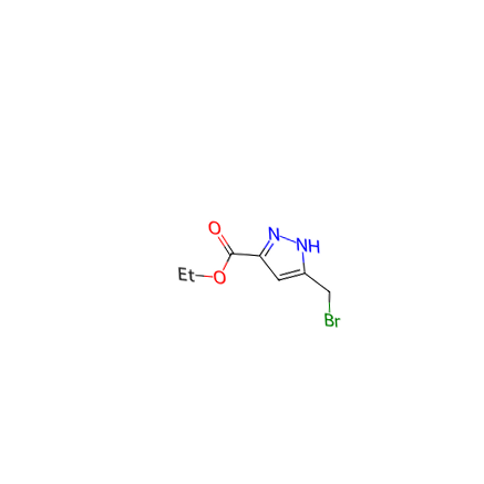 CCOC(=O)c1cc(CBr)[nH]n1